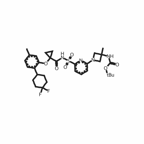 Cc1ccc(C2CCC(F)(F)CC2)c(OC2(C(=O)NS(=O)(=O)c3cccc(N4CC(C)(NC(=O)OC(C)(C)C)C4)n3)CC2)c1